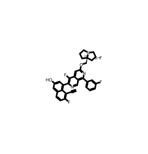 C#Cc1c(F)ccc2cc(O)cc(-c3ncc4c(-c5cccc(F)c5)nc(OC[C@@]56CCCN5C[C@H](F)C6)cc4c3F)c12